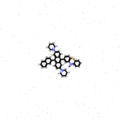 CN1c2ccccc2Sc2ccc(-c3c4ccc(N5CCCCC5)cc4c(-c4ccc5ccccc5c4)c4ccc(N5CCCCC5)cc34)cc21